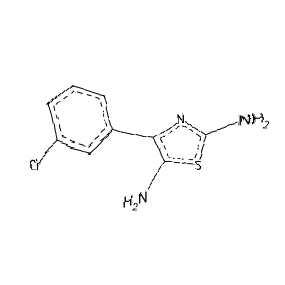 Nc1nc(-c2cccc(Cl)c2)c(N)s1